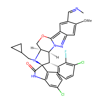 C/N=C\c1cc2c3n(nc2cc1OC)[C@@H]1[C@H](CO3)N(CC2CC2)[C@@]2(C(=O)Nc3cc(Cl)ccc32)[C@H]1c1cccc(Cl)c1F